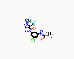 CC(=O)Nc1cc(Cl)cc(NC(=O)c2cnn(C)c2C(F)(F)F)c1